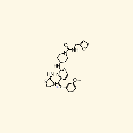 COc1cccc(/C=C(\c2ccnc(NC3CCN(C(=O)NCc4ccco4)CC3)n2)n2ccsc2=N)c1